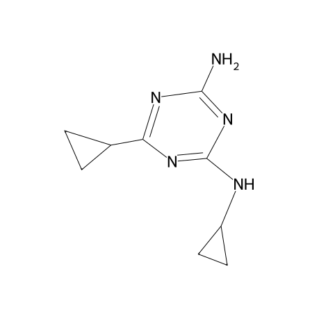 Nc1nc(NC2CC2)nc(C2CC2)n1